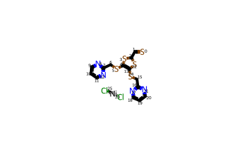 S=CC1SC(SCc2ncccn2)=C(SCc2ncccn2)S1.[Cl][Ni][Cl]